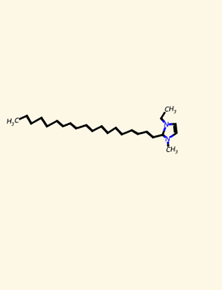 CCCCCCCCCCCCCCCCCCCC1N(C)C=CN1CC